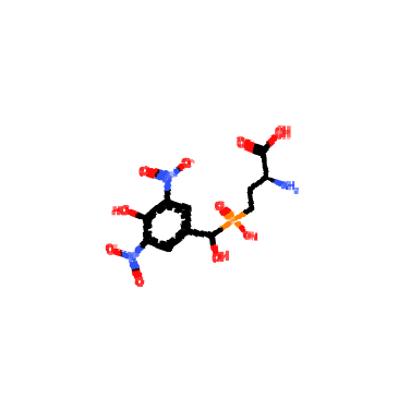 N[C@@H](CCP(=O)(O)C(O)c1cc([N+](=O)[O-])c(O)c([N+](=O)[O-])c1)C(=O)O